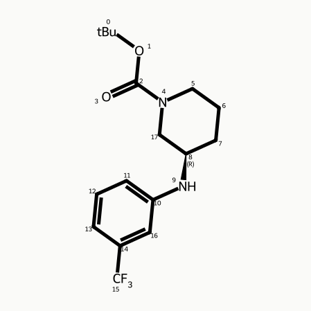 CC(C)(C)OC(=O)N1CCC[C@@H](Nc2cccc(C(F)(F)F)c2)C1